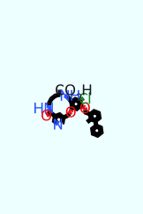 Cc1c(COc2cc3c(cc2Cl)CNC(C(=O)O)CCCNC(=O)c2cncc(c2)CO3)cccc1-c1ccccc1